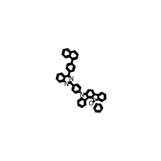 O=P1(c2ccccc2)c2ccccc2-c2ccc3c(c21)c1ccccc1n3-c1ccc(-c2nc(-c3ccc(-c4cccc5ccccc45)cc3)c3ccccc3n2)cc1